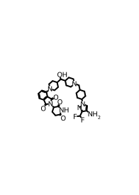 Nc1cn(C2CCC(CN3CCC(C(O)C4CCN(c5cccc6c5C(=O)N(C5CCC(=O)NC5=O)C6=O)CC4)CC3)CC2)nc1C(F)F